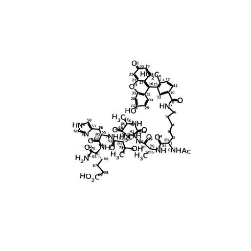 CC(=O)N[C@H](CCCCCNC(=O)c1ccc(C(=O)O)c(-c2c3ccc(=O)cc-3oc3cc(O)ccc23)c1)C(=O)N[C@H](C)C(=O)N[C@H](C)C(=O)N[C@H](C)C(=O)N[C@@H](C(=O)N[C@H](Cc1c[nH]cn1)C(=O)N[C@H](CCCC(=O)O)C(N)=O)[C@H](C)O